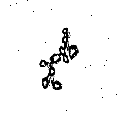 c1ccc(N(c2ccc(-c3ccc(N(c4ccccc4)c4ccc5c(c4)oc4ccccc45)c4ccccc34)cc2)c2ccc3c(c2)c2ccccc2n3-c2ccccc2)cc1